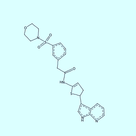 O=C(Cc1cccc(S(=O)(=O)N2CCOCC2)c1)NC1=CCC(c2c[nH]c3ncccc23)S1